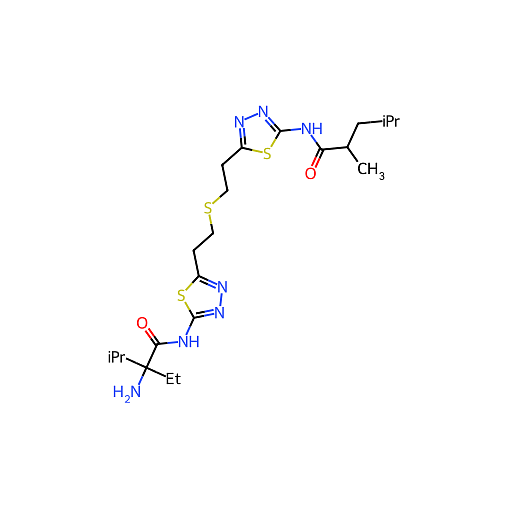 CCC(N)(C(=O)Nc1nnc(CCSCCc2nnc(NC(=O)C(C)CC(C)C)s2)s1)C(C)C